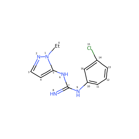 CCn1nccc1NC(=N)Nc1cccc(Cl)c1